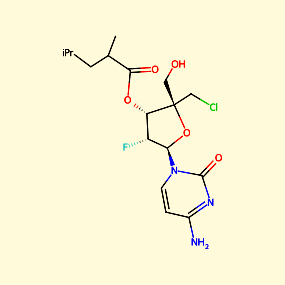 CC(C)CC(C)C(=O)O[C@H]1[C@@H](F)[C@H](n2ccc(N)nc2=O)O[C@@]1(CO)CCl